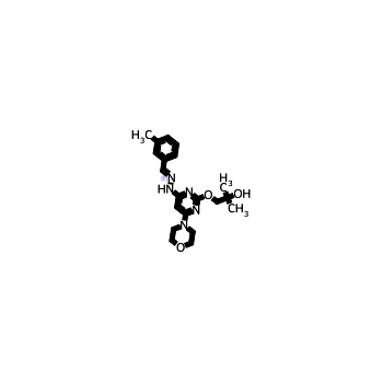 Cc1cccc(/C=N/Nc2cc(N3CCOCC3)nc(OCC(C)(C)O)n2)c1